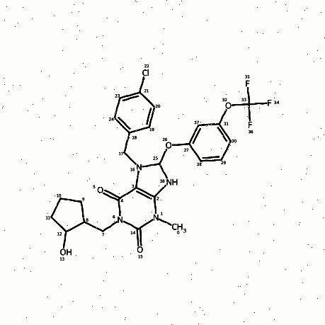 Cn1c2c(c(=O)n(CC3CCCC3O)c1=O)N(Cc1ccc(Cl)cc1)C(Oc1cccc(OC(F)(F)F)c1)N2